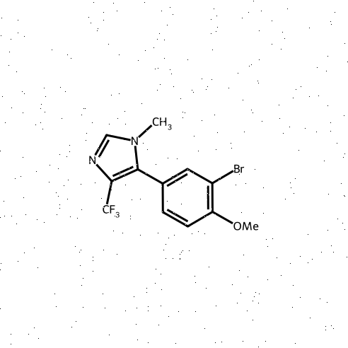 COc1ccc(-c2c(C(F)(F)F)ncn2C)cc1Br